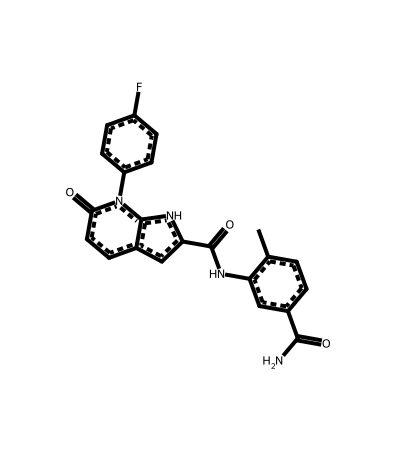 Cc1ccc(C(N)=O)cc1NC(=O)c1cc2ccc(=O)n(-c3ccc(F)cc3)c2[nH]1